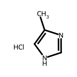 Cc1c[nH]cn1.Cl